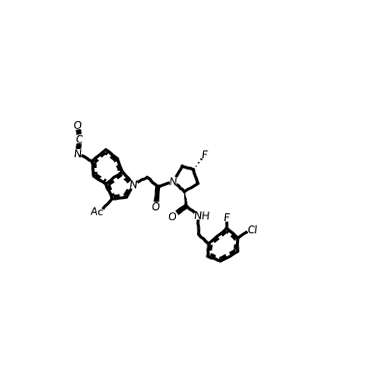 CC(=O)c1cn(CC(=O)N2C[C@H](F)C[C@H]2C(=O)NCc2cccc(Cl)c2F)c2ccc(N=C=O)cc12